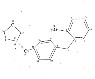 Oc1ccccc1Cc1ccc(O[C@@H]2CCOC2)cc1